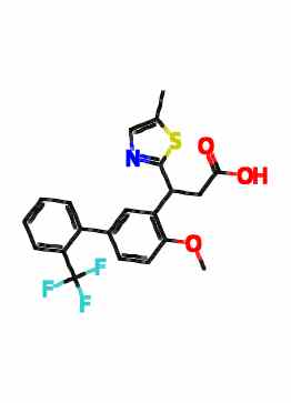 COc1ccc(-c2ccccc2C(F)(F)F)cc1C(CC(=O)O)c1ncc(C)s1